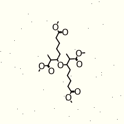 COC(=O)CCCCC(OC(CCCCC(=O)OC)C(C)C(=O)OC)C(C)C(=O)OC